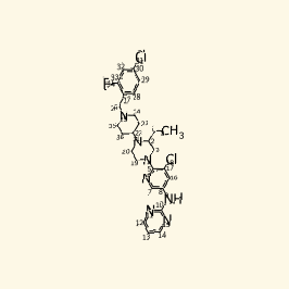 CCC1CN(c2ncc(Nc3ncccn3)cc2Cl)CCN1C1CCN(Cc2ccc(Cl)cc2F)CC1